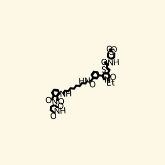 CCn1cc(-c2cccc(C(=O)NCCCCCCCCNc3cccc4c3C(=O)N(C3CCC(=O)NC3=O)C4=O)c2)c2sc(C(=O)NC3CCS(=O)(=O)CC3)cc2c1=O